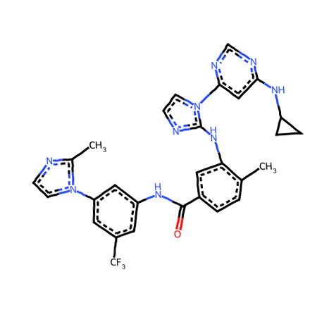 Cc1ccc(C(=O)Nc2cc(-n3ccnc3C)cc(C(F)(F)F)c2)cc1Nc1nccn1-c1cc(NC2CC2)ncn1